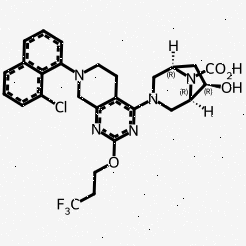 O=C(O)N1[C@@H]2C[C@@H](O)[C@H]1CN(c1nc(OCCC(F)(F)F)nc3c1CCN(c1cccc4cccc(Cl)c14)C3)C2